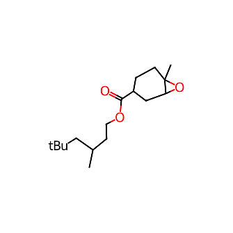 CC(CCOC(=O)C1CCC2(C)OC2C1)CC(C)(C)C